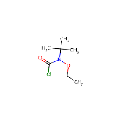 CCON(C(=O)Cl)C(C)(C)C